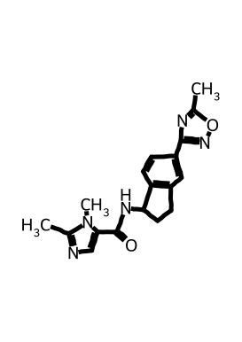 Cc1nc(-c2ccc3c(c2)CCC3NC(=O)c2cnc(C)n2C)no1